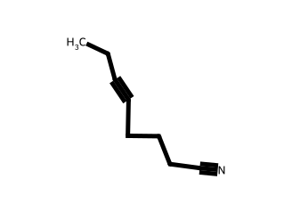 CCC#CCCCC#N